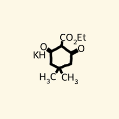 CCOC(=O)C1C(=O)CC(C)(C)CC1=O.[KH]